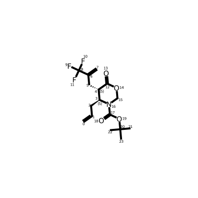 C=CC[C@H]1[C@H](CC(=C)C(F)(F)F)C(=O)OCN1C(=O)OC(C)(C)C